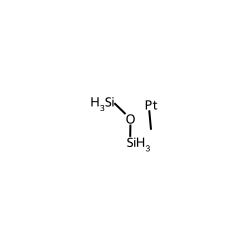 [CH3][Pt].[SiH3]O[SiH3]